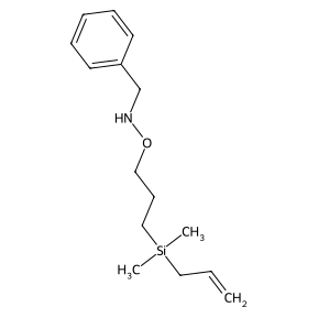 C=CC[Si](C)(C)CCCONCc1ccccc1